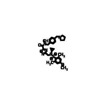 COc1cc(C)c(S(=O)(=O)N(Cc2noc(C(=O)N(C)Cc3ccc(CN4CCCC4)cc3)n2)C2CC2)c(C)c1